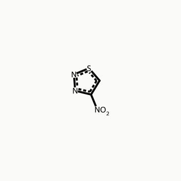 O=[N+]([O-])c1csnn1